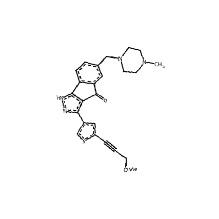 COCC#Cc1cc(-c2n[nH]c3c2C(=O)c2cc(CN4CCN(C)CC4)ccc2-3)cs1